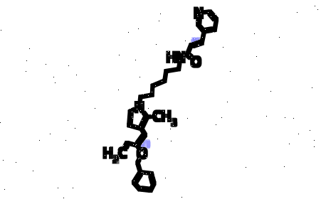 C=C/C(=C\c1ccn(CCCCCCNC(=O)/C=C/c2cccnc2)c1C)OCc1ccccc1